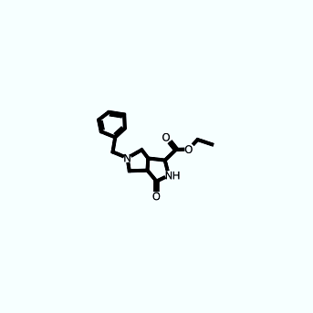 CCOC(=O)C1NC(=O)C2CN(Cc3ccccc3)CC21